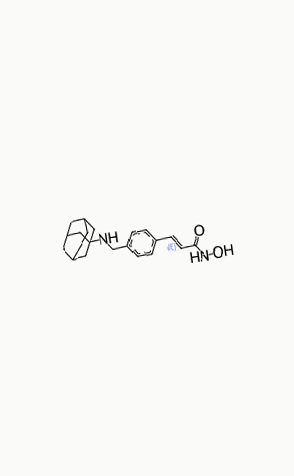 O=C(/C=C/c1ccc(CNC23CC4CC(CC(C4)C2)C3)cc1)NO